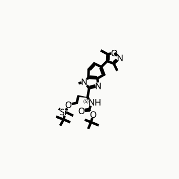 Cc1noc(C)c1-c1ccc2c(c1)nc([C@H](CCO[Si](C)(C)C(C)(C)C)NC(=O)OC(C)(C)C)n2C